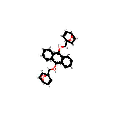 C1=CC2(COc3c4ccccc4c(OCC45C=CC(=CC4)O5)c4ccccc34)CC=C1O2